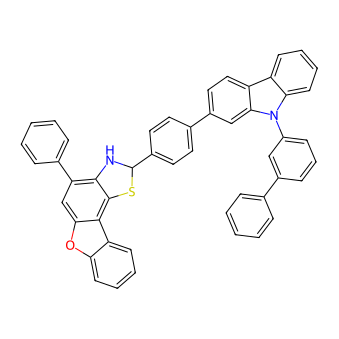 c1ccc(-c2cccc(-n3c4ccccc4c4ccc(-c5ccc(C6Nc7c(-c8ccccc8)cc8oc9ccccc9c8c7S6)cc5)cc43)c2)cc1